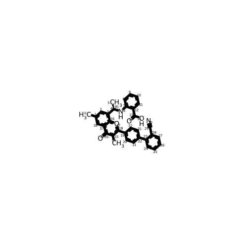 Cc1cc([C@@H](C)Nc2ccccc2C(=O)O)c2oc(-c3ccc(-c4ccccc4C#N)cc3)c(C)c(=O)c2c1